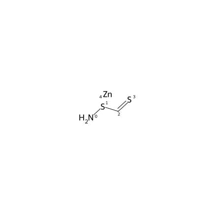 NSC=S.[Zn]